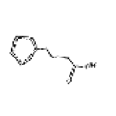 [NH]C(=O)CCCc1ccccc1